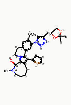 COc1cc2c(cc1-n1cc(C[C@H]3COC(C)(C)O3)nn1)-c1c(-c3cccs3)c3c(n1CC2)C(=O)N(C(C)(C)C)CCCC3